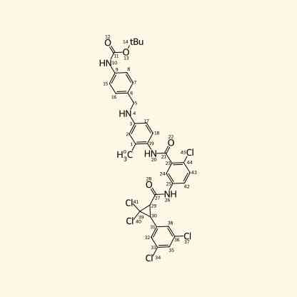 Cc1cc(NCc2ccc(NC(=O)OC(C)(C)C)cc2)ccc1NC(=O)c1cc(NC(=O)C2C(c3cc(Cl)cc(Cl)c3)C2(Cl)Cl)ccc1Cl